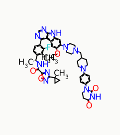 COc1cc2c(cc1N1CCN(CC3CCN(c4ccc(N5CCC(=O)NC5=O)cc4)CC3)CC1)[nH]c1ncnc(-c3ccc([C@@H](C)NC(=O)c4nc(C5(C)CC5)no4)c(C)c3F)c12